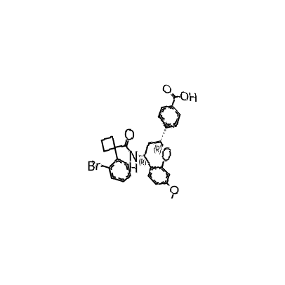 COc1ccc2c(c1)O[C@@H](c1ccc(C(=O)O)cc1)C[C@H]2NC(=O)C1(c2ccccc2Br)CCC1